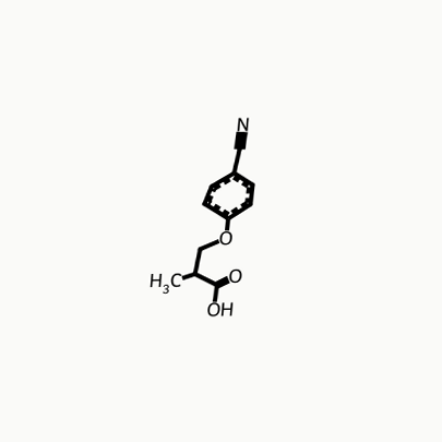 CC(COc1ccc(C#N)cc1)C(=O)O